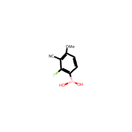 COc1ccc(B(O)O)c(F)c1C#N